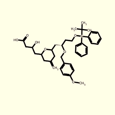 C=C1CC(CC(O)CC(=O)O)OC(C[C@H](CCO[Si](c2ccccc2)(c2ccccc2)C(C)(C)C)OCc2ccc(OC)cc2)C1